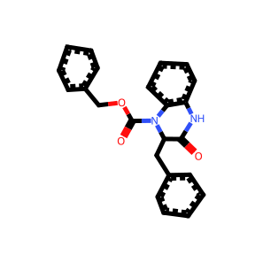 O=C1Nc2ccccc2N(C(=O)OCc2ccccc2)C1Cc1ccccc1